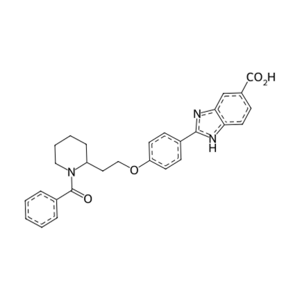 O=C(O)c1ccc2[nH]c(-c3ccc(OCCC4CCCCN4C(=O)c4ccccc4)cc3)nc2c1